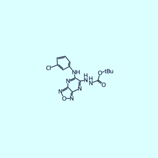 CC(C)(C)OC(=O)NNc1nc2nonc2nc1Nc1cccc(Cl)c1